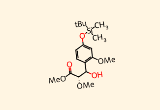 COC(=O)[C@@H](OC)C(O)c1ccc(O[Si](C)(C)C(C)(C)C)cc1OC